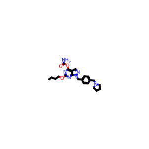 CCCCOc1nc(OC(N)=O)c2cnn(Cc3ccc(CN4CCCC4)cc3)c2n1